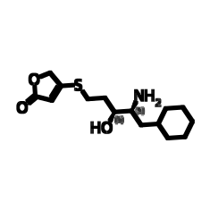 N[C@@H](CC1CCCCC1)[C@@H](O)CCSC1=CC(=O)OC1